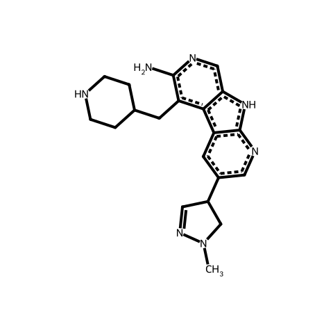 CN1CC(c2cnc3[nH]c4cnc(N)c(CC5CCNCC5)c4c3c2)C=N1